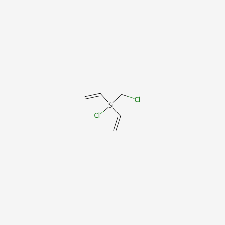 C=C[Si](Cl)(C=C)CCl